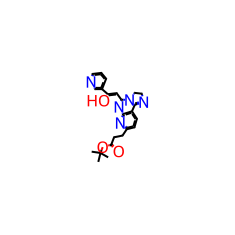 CC(C)(C)OC(=O)CCc1ccc2c(n1)N=C(/C=C(\O)c1cccnc1)N1CCN=C21